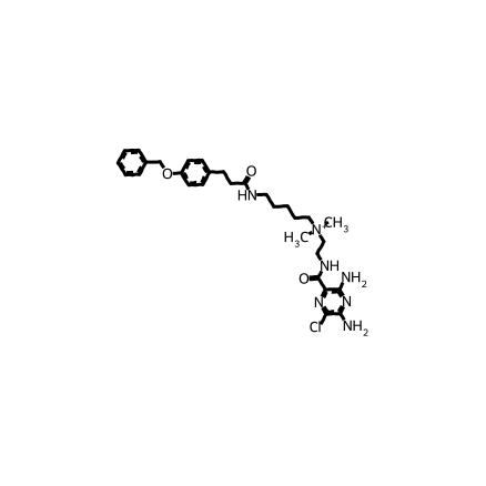 C[N+](C)(CCCCCNC(=O)CCc1ccc(OCc2ccccc2)cc1)CCNC(=O)c1nc(Cl)c(N)nc1N